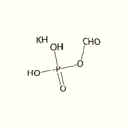 O=COP(=O)(O)O.[KH]